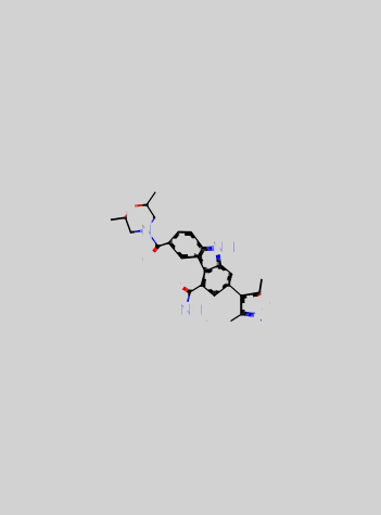 Cc1noc(C)c1-c1cc(C(N)=O)c2c(c1)[nH]c1ccc(C(=O)N3CC(C)OC(C)C3)cc12